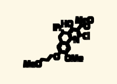 COCCCOc1cc2c(cc1OC)-c1nc(Cl)c(C(=O)OC)c(O)c1C(C(C)C)C2